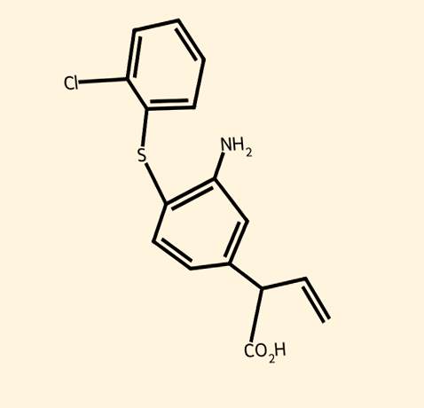 C=CC(C(=O)O)c1ccc(Sc2ccccc2Cl)c(N)c1